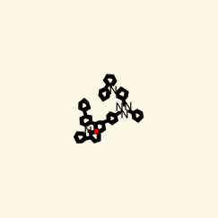 c1ccc(-c2ccc(-n3c4ccccc4c4ccccc43)c(-c3cccc(-c4ccc(-c5nc(-c6ccccc6)nc(-c6cccc(-n7c8ccccc8c8ccccc87)c6)n5)cc4)c3)c2)cc1